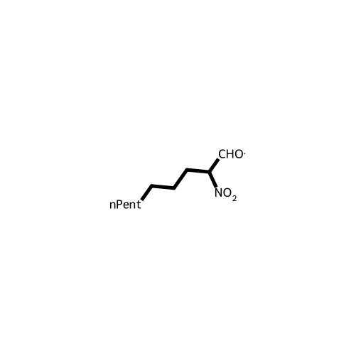 CCCCCCCCC([C]=O)[N+](=O)[O-]